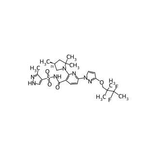 Cc1n[nH]cc1S(=O)(=O)NC(=O)c1ccc(-n2ccc(OCC(C)(C)C(C)(F)F)n2)nc1N1C[C@@H](C)CC1(C)C